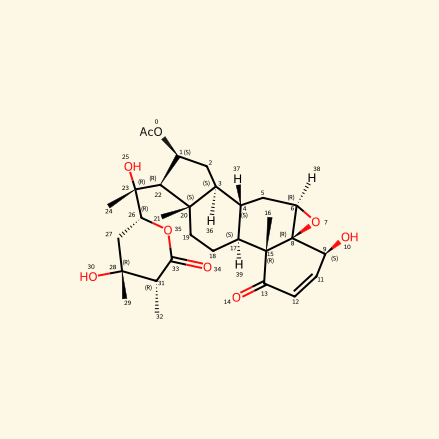 CC(=O)O[C@H]1C[C@H]2[C@@H]3C[C@H]4O[C@]45[C@@H](O)C=CC(=O)[C@]5(C)[C@H]3CC[C@]2(C)[C@H]1[C@@](C)(O)[C@H]1C[C@@](C)(O)[C@@H](C)C(=O)O1